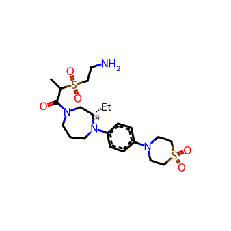 CC[C@H]1CN(C(=O)C(C)S(=O)(=O)CCN)CCCN1c1ccc(N2CCS(=O)(=O)CC2)cc1